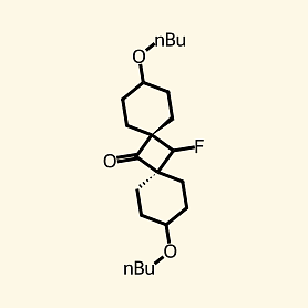 CCCCOC1CC[C@]2(CC1)C(=O)[C@@]1(CCC(OCCCC)CC1)C2F